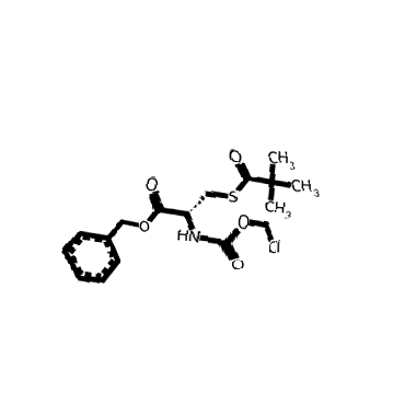 CC(C)(C)C(=O)SC[C@H](NC(=O)OCCl)C(=O)OCc1ccccc1